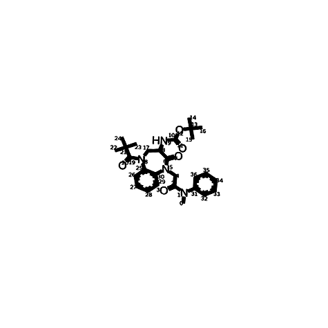 CN(C(=O)CN1C(=O)C(NC(=O)OC(C)(C)C)CN(C(=O)C(C)(C)C)c2ccccc21)c1ccccc1